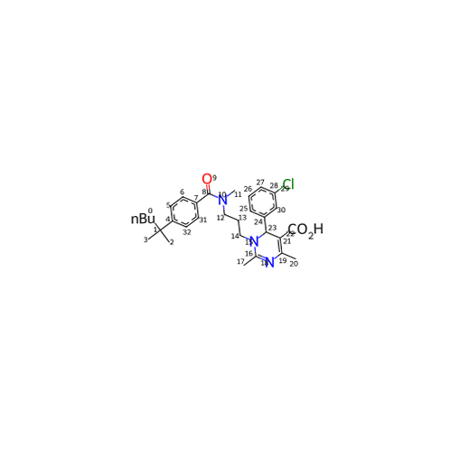 CCCCC(C)(C)c1ccc(C(=O)N(C)CCCN2C(C)=NC(C)=C(C(=O)O)C2c2cccc(Cl)c2)cc1